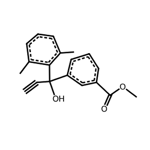 C#CC(O)(c1cccc(C(=O)OC)c1)c1c(C)cccc1C